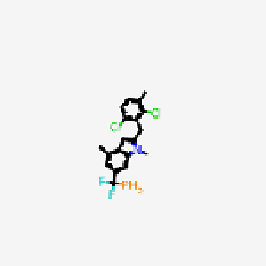 Cc1ccc(Cl)c(Cc2cc3c(C)cc(C(F)(F)P)cc3n2C)c1Cl